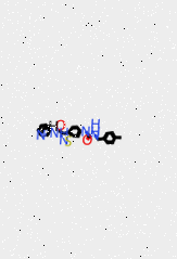 Cc1ccc(CNC(=O)Nc2ccc3c(C(=O)N[C@@H]4CN5CCC4CC5)nsc3c2)cc1